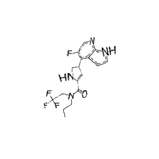 CCCN(CC(F)(F)F)C(=O)C1=CC(c2c(F)cnc3[nH]ccc23)CN1